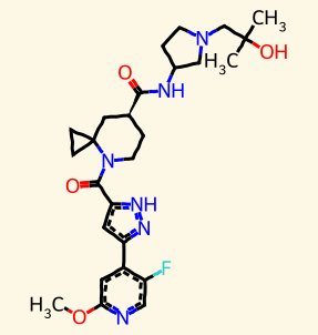 COc1cc(-c2cc(C(=O)N3CC[C@H](C(=O)NC4CCN(CC(C)(C)O)C4)CC34CC4)[nH]n2)c(F)cn1